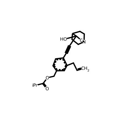 C=CCc1cc(COC(=O)C(C)C)ccc1C#CC1(O)CN2CCC1CC2